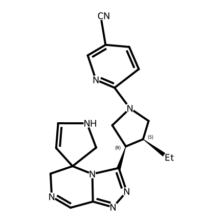 CC[C@@H]1CN(c2ccc(C#N)cn2)C[C@@H]1c1nnc2n1C1(C=CNC1)CN=C2